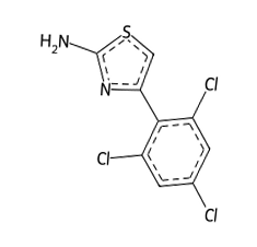 Nc1nc(-c2c(Cl)cc(Cl)cc2Cl)cs1